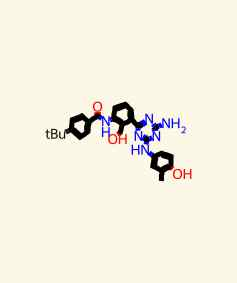 Cc1cc(Nc2nc(N)nc(-c3cccc(NC(=O)c4ccc(C(C)(C)C)cc4)c3CO)n2)ccc1O